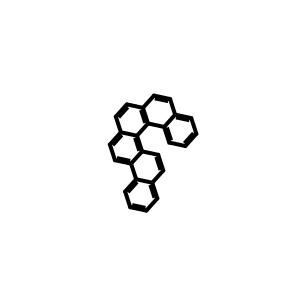 c1ccc2c(c1)ccc1c2ccc2ccc3ccc4ccccc4c3c21